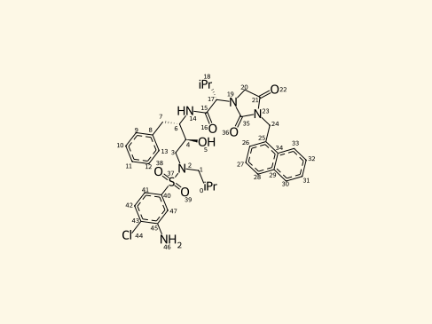 CC(C)CN(C[C@H](O)[C@H](Cc1ccccc1)NC(=O)[C@H](C(C)C)N1CC(=O)N(Cc2cccc3ccccc23)C1=O)S(=O)(=O)c1ccc(Cl)c(N)c1